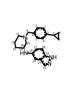 c1cc(C2CC2)ccc1CN1CCC[C@@H](Nc2ccc3[nH]ncc3c2)C1